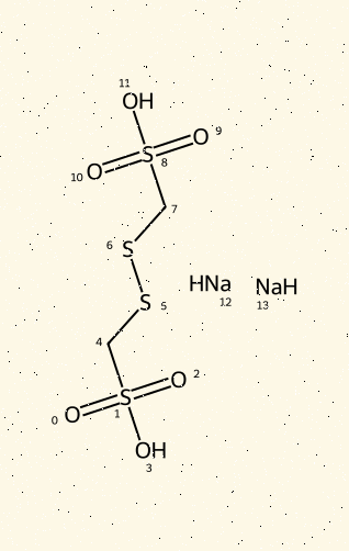 O=S(=O)(O)CSSCS(=O)(=O)O.[NaH].[NaH]